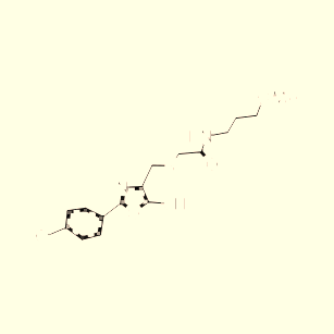 COCCCNC(=O)CSCc1nc(-c2ccc(Cl)cc2)oc1C